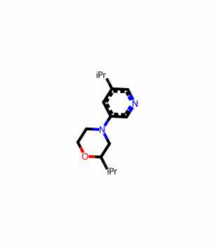 CC(C)c1cncc(N2CCOC(C(C)C)C2)c1